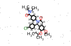 CCC(C)Oc1cc2c(cc1OC)CC(=O)N(c1ccc(C(=O)N(CC)CC)cc1)C2c1ccc(Cl)cc1